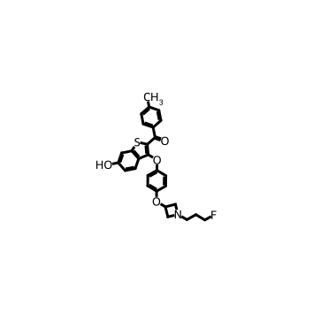 Cc1ccc(C(=O)c2sc3cc(O)ccc3c2Oc2ccc(OC3CN(CCCF)C3)cc2)cc1